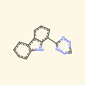 c1ccc2c(c1)[nH]c1c(-c3nncnn3)cccc12